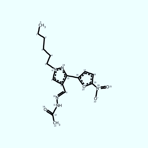 CCCCCCn1cc(C=NNC(C)=O)c(-c2ccc([N+](=O)[O-])o2)n1